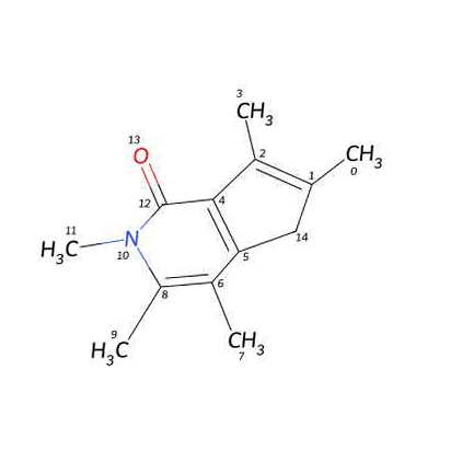 CC1=C(C)c2c(c(C)c(C)n(C)c2=O)C1